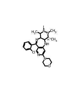 CC1C2N=C(c3ccccc3Cl)c3cnc(N4CCOCC4)cc3NC2[C@@H](C)N(C)N1I